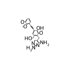 COc1cccc(C#Cc2cc(CO)c(Cc3cnc(N)nc3N)c(OC)c2O)c1OC